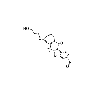 Cn1c2c(c3ccc(N=O)cc31)C(=O)C1=C(C=C(OCCCO)C=CC1)C2(C)C